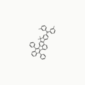 Cc1cccc(N(c2cccc(C)c2)c2ccc3c(c2)C(C)(C)c2cc4c5c(cccc5c2-3)-c2c-4c(-c3ccccc3)c3ccccc3c2-c2ccccc2)c1